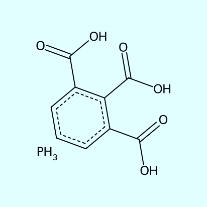 O=C(O)c1cccc(C(=O)O)c1C(=O)O.P